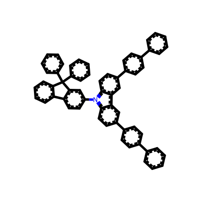 c1ccc(-c2ccc(-c3ccc4c(c3)c3cc(-c5ccc(-c6ccccc6)cc5)ccc3n4-c3ccc4c(c3)C(c3ccccc3)(c3ccccc3)c3ccccc3-4)cc2)cc1